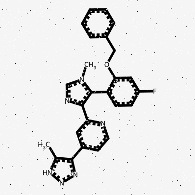 Cc1[nH]nnc1-c1ccnc(-c2ncn(C)c2-c2ccc(F)cc2OCc2ccccc2)c1